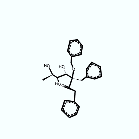 C[C@@H](O)[C@H](O)[C@H](O)[C@@](Cc1ccccc1)(OCc1ccccc1)C(=O)Cc1ccccc1